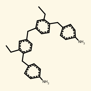 CCc1cc(Cc2ccc(Cc3ccc(N)cc3)c(CC)c2)ccc1Cc1ccc(N)cc1